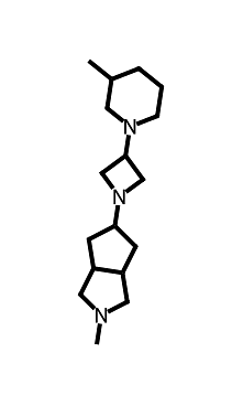 CC1CCCN(C2CN(C3CC4CN(C)CC4C3)C2)C1